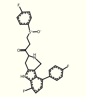 O=C(CC[S+]([O-])c1ccc(F)cc1)C1Cc2[nH]c3c(F)ccc(-c4ccc(F)cc4)c3c2CN1